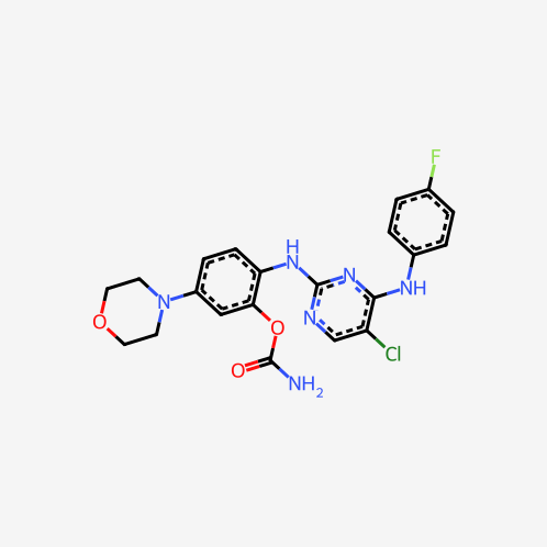 NC(=O)Oc1cc(N2CCOCC2)ccc1Nc1ncc(Cl)c(Nc2ccc(F)cc2)n1